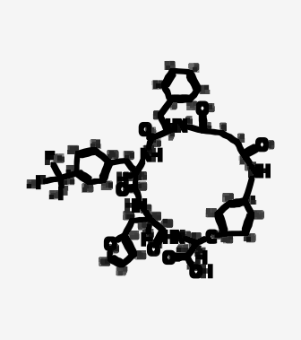 O=C1CCC(=O)NC(Cc2ccccc2)C(=O)N[C@@H](Cc2ccc(C(F)(F)F)cc2)C(=O)N[C@@H](Cc2ccco2)C(=O)N[C@H](C(=O)O)Cc2ccc(cc2)N1